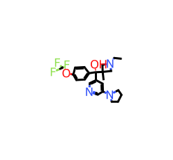 CCN1CC(C)([C@](O)(c2ccc(OC(F)(F)F)cc2)c2cncc(N3CCCC3)c2)C1